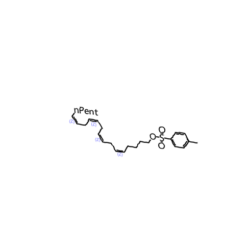 CCCCC/C=C\C/C=C\C/C=C\C/C=C\CCCCOS(=O)(=O)c1ccc(C)cc1